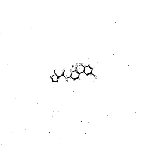 Cn1nccc1C(=O)Nc1ccc(-c2cc(Cl)ccc2Cl)c(N)n1